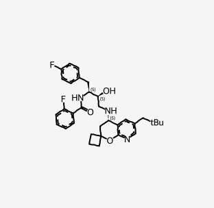 CC(C)(C)Cc1cnc2c(c1)[C@@H](NC[C@H](O)[C@H](Cc1ccc(F)cc1)NC(=O)c1ccccc1F)CC1(CCC1)O2